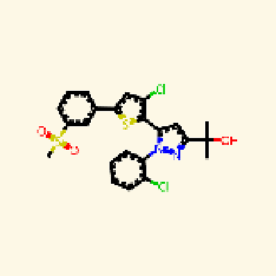 CC(C)(O)c1cc(-c2sc(-c3cccc(S(C)(=O)=O)c3)cc2Cl)n(-c2ccccc2Cl)n1